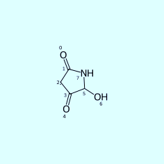 O=C1[CH]C(=O)C(O)N1